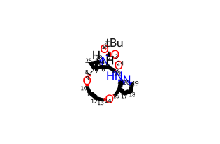 CC(C)(C)OC(=O)N1[C@H]2C[C@@]3(COCC=CCOCc4cccnc4NC2=O)C[C@@H]13